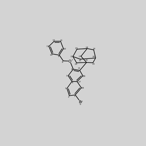 Brc1ccc2cc(OCc3ccccc3)c(C34CC5CC(CC(C5)C3)C4)cc2c1